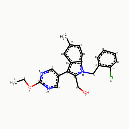 CCOc1ncc(-c2c(CO)n(Cc3ccccc3Cl)c3ccc(C)cc23)cn1